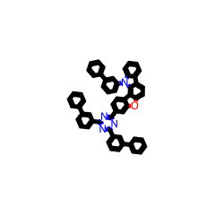 c1ccc(-c2cccc(-c3nc(-c4cccc(-c5ccccc5)c4)nc(-c4ccc5c(c4)oc4ccc6c7ccccc7n(-c7cccc(-c8ccccc8)c7)c6c45)n3)c2)cc1